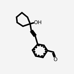 O=Cc1cccc(C#CC2(O)CCCCC2)c1